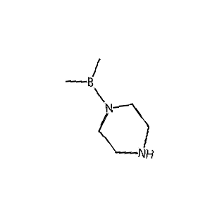 CB(C)N1CCNCC1